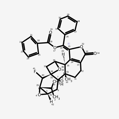 CC(C)[C@]12O[C@H]1C[C@@]1(O)[C@@]3(C)CCC4=C(/C(=C(\OC(=O)c5ccccc5)c5ccccc5)OC4=O)[C@@H]3C3C[C@@]1(O3)C2F